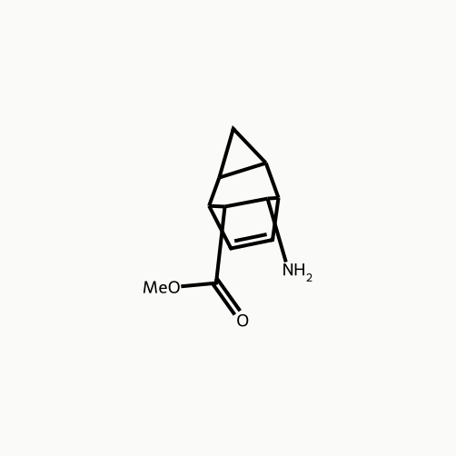 COC(=O)C1C(N)C2C=CC1C1CC21